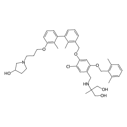 Cc1cccc(C)c1COc1cc(OCc2cccc(-c3cccc(OCCCN4CCC(O)C4)c3C)c2C)c(Cl)cc1CNC(C)(CO)CO